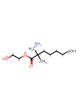 CCCCCCCCCCCCC(C)(C)C(=O)OCCO.N